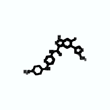 CN1CCC(Nc2ccc(NC(=O)c3n[nH]c4cc(F)c(-c5cnn(C)c5)cc34)cn2)CC1